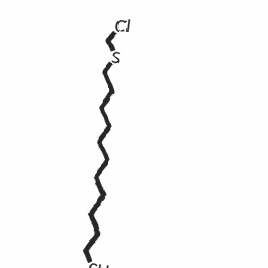 CCCCCCCCCCCCSCCl